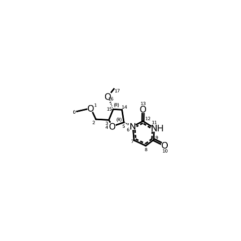 COCC1O[C@@H](n2ccc(=O)[nH]c2=O)C[C@H]1OC